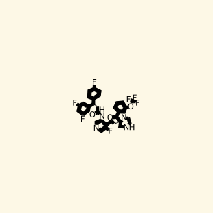 O=C(C[C@@H](c1ccc(F)cc1)c1cc(F)cc(F)c1)Nc1cncc(F)c1CC[C@@]1(C(=O)c2cccc(OC(F)(F)F)c2)CNCCN1